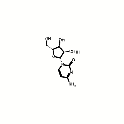 I.Nc1ccn([C@@H]2O[C@H](CO)[C@@H](O)[C@H]2O)c(=O)n1